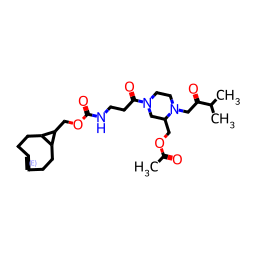 CC(=O)OCC1CN(C(=O)CCNC(=O)OCC2C3CC/C=C/CCC32)CCN1CC(=O)C(C)C